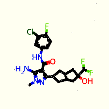 Cn1nc(C2CC3CC(O)(C(F)F)CC3C2)c(C(=O)Nc2ccc(F)c(Cl)c2)c1N